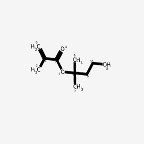 C=C(C)C(=O)OC(C)(C)CCO